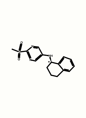 CS(=O)(=O)c1ncc(N[C@@H]2CCCc3ccccc32)cn1